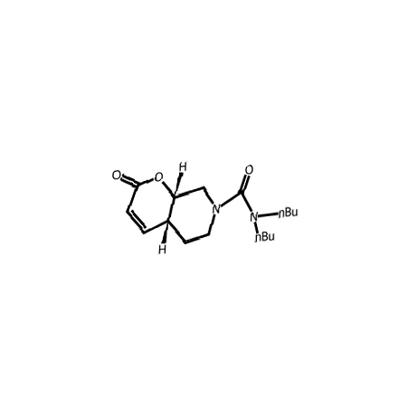 CCCCN(CCCC)C(=O)N1CC[C@@H]2C=CC(=O)O[C@@H]2C1